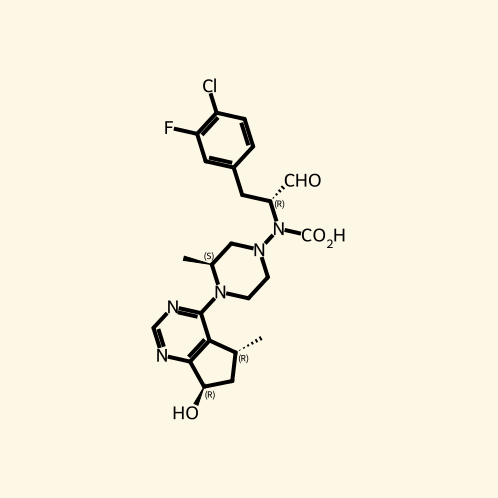 C[C@@H]1C[C@@H](O)c2ncnc(N3CCN(N(C(=O)O)[C@@H](C=O)Cc4ccc(Cl)c(F)c4)C[C@@H]3C)c21